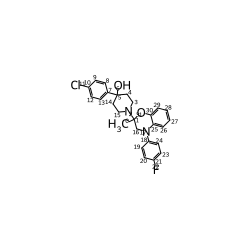 CC1(N2CCC(O)(c3ccc(Cl)cc3)CC2)CN(c2ccc(F)cc2)c2ccccc2O1